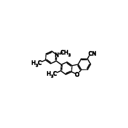 Cc1cc[n+](C)c(-c2cc3c(cc2C)oc2ccc(C#N)cc23)c1